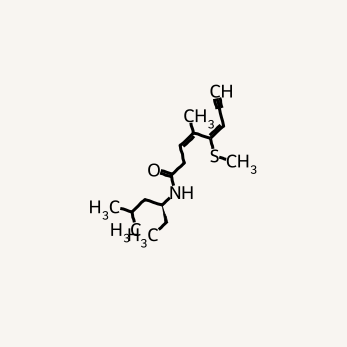 C#C/C=C(SC)\C(C)=C/CC(=O)N[C@@H](CC)CC(C)C